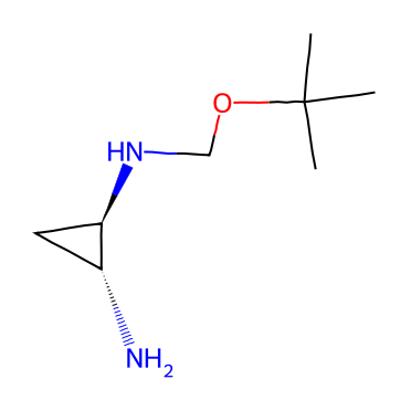 CC(C)(C)OCN[C@@H]1C[C@H]1N